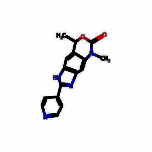 CC1OC(=O)N(C)c2cc3nc(-c4ccncc4)[nH]c3cc21